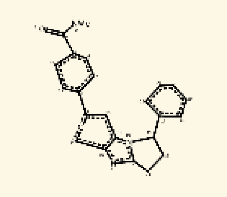 CNC(=O)c1ccc(-c2ccc3nc4n(c3c2)C(c2ccccc2)CC4)cc1